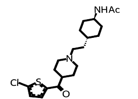 CC(=O)N[C@H]1CC[C@H](CCN2CCC(C(=O)c3ccc(Cl)s3)CC2)CC1